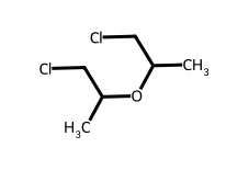 CC(CCl)OC(C)CCl